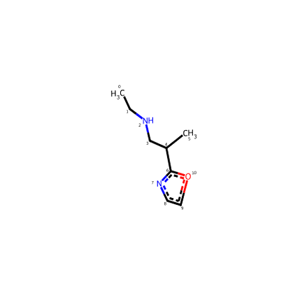 CCNCC(C)c1ncco1